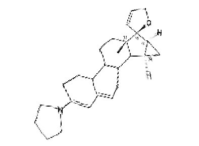 C[C@]12CCC3C4CCC(N5CCCC5)=CC4=CCC3C1[C@@H]1C[C@@H]1[C@@]21C=CCO1